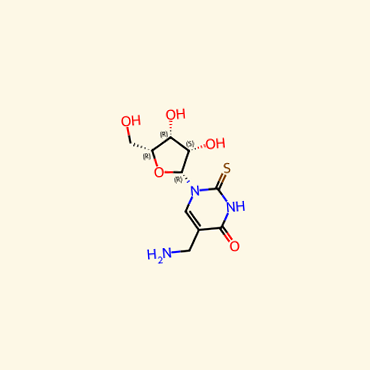 NCc1cn([C@@H]2O[C@H](CO)[C@H](O)[C@@H]2O)c(=S)[nH]c1=O